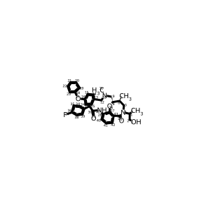 CC(CO)N1C[C@@H](C)[C@@H](CN(C)Cc2ccc(Oc3ccccc3)cc2)Oc2c(NC(=O)Cc3ccc(F)cc3)cccc2C1=O